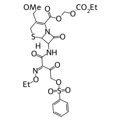 CCO/N=C(\C(=O)COS(=O)(=O)c1ccccc1)C(=O)NC1C(=O)N2C(C(=O)OCOC(=O)OCC)=C(COC)CS[C@H]12